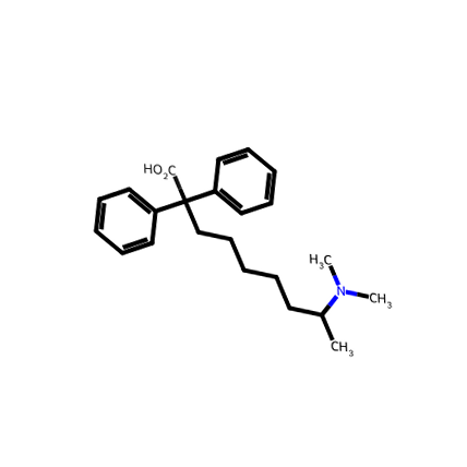 CC(CCCCCC(C(=O)O)(c1ccccc1)c1ccccc1)N(C)C